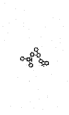 CC1(C)c2ccccc2-c2cc(-c3ccc(-c4ccccc4)c(-c4cccc(-c5cc(-c6ccccc6)cc(-c6ccccc6)n5)c4)c3)ccc21